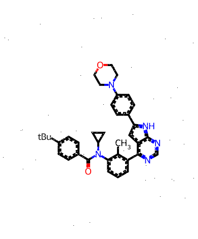 Cc1c(-c2ncnc3[nH]c(-c4ccc(N5CCOCC5)cc4)cc23)cccc1N(C(=O)c1ccc(C(C)(C)C)cc1)C1CC1